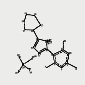 Cc1cc(C)c(C2=NC=C(C3CCCCC3)[NH2+]2)c(C)c1.F[B-](F)(F)F